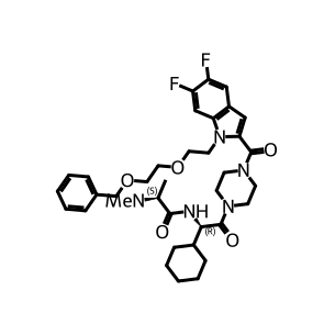 CN[C@@H](C)C(=O)N[C@@H](C(=O)N1CCN(C(=O)c2cc3cc(F)c(F)cc3n2CCOCCOCc2ccccc2)CC1)C1CCCCC1